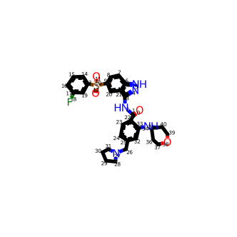 O=C(Nc1n[nH]c2ccc(S(=O)(=O)c3cccc(F)c3)cc12)c1ccc(CN2CCCC2)cc1NC1CCOCC1